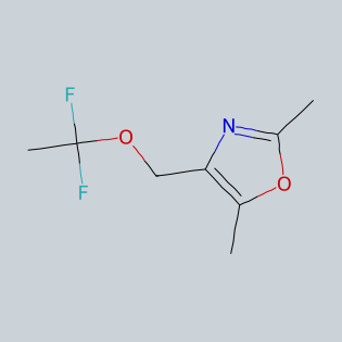 Cc1nc(COC(C)(F)F)c(C)o1